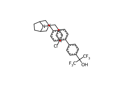 OC(c1ccc(-c2ccc(CN3CC4CCC(C3)N4Cc3ccncc3)cc2Cl)cc1)(C(F)(F)F)C(F)(F)F